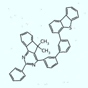 CC1(C)c2ccccc2-c2nc(-c3ccccc3)nc(-c3cccc(-c4cccc(-c5cccc6c5sc5ccccc56)c4)c3)c21